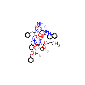 C=CCOC(=O)N[C@H](C(=O)NN(Cc1ccc(OCc2ccccc2)cc1)CC(O)C(Cc1ccccc1)NC(=O)[C@H](CC(N)=O)NC(=O)c1ccc2ccccc2n1)C(C)C